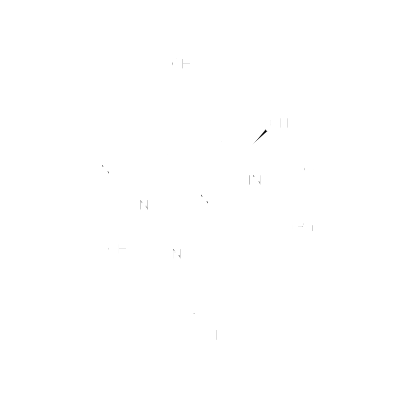 Cc1cc([C@@H](C)N[S@+]([O-])C(C)(C)C)c2nc(N3CCC(F)(F)CC3)n3c(C)cnc3c2c1